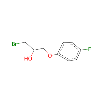 OC(CBr)COc1ccc(F)cc1